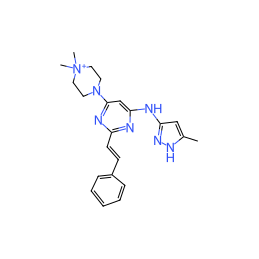 Cc1cc(Nc2cc(N3CC[N+](C)(C)CC3)nc(/C=C/c3ccccc3)n2)n[nH]1